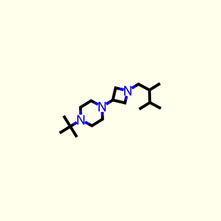 CC(C)C(C)CN1CC(N2CCN(C(C)(C)C)CC2)C1